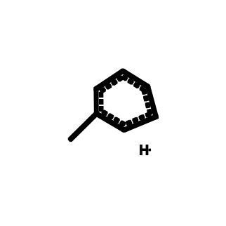 Cc1ccccc1.[H]